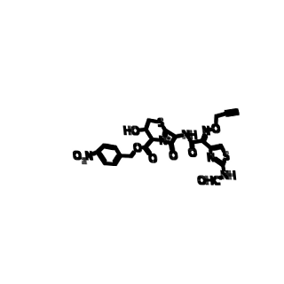 C#CCON=C(C(=O)NC1C(=O)[N+]2=C1SCC(O)C2C(=O)OCc1ccc([N+](=O)[O-])cc1)c1csc(NC=O)n1